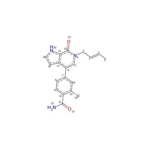 CC=CCn1cc(-c2ccc(C(N)=O)c(F)c2)c2cc[nH]c2c1=O